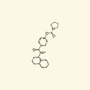 O=C(Nc1cccc2ccccc12)c1ccc(OC(=O)N2CCCC2)cc1